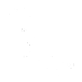 Cc1cc(C[CH]C(=O)N2CCN(C3CCOCC3)CC2)cc(C)c1O